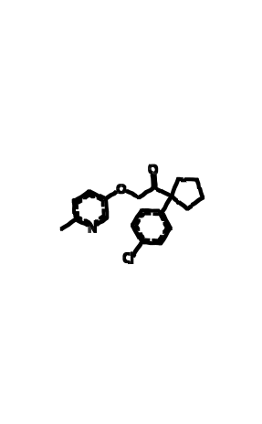 Cc1ccc(OCC(=O)C2(c3ccc(Cl)cc3)CCCC2)cn1